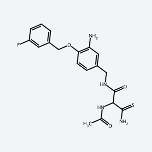 CC(=O)NC(C(=O)NCc1ccc(OCc2cccc(F)c2)c(N)c1)C(N)=S